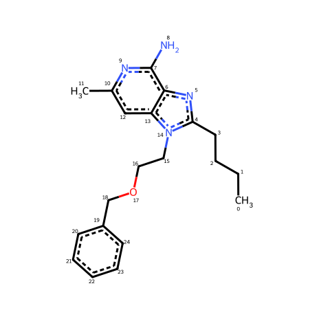 CCCCc1nc2c(N)nc(C)cc2n1CCOCc1ccccc1